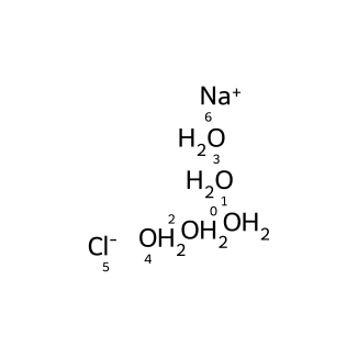 O.O.O.O.O.[Cl-].[Na+]